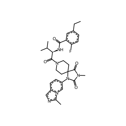 CCc1ccc(F)c(C(=O)N[C@@H](C(=O)N2CCC3(CC2)C(=O)N(C)C(=O)N3c2ccc3cnc(C)n3c2)C(C)C)c1